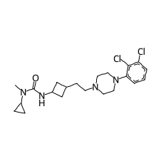 CN(C(=O)NC1CC(CCN2CCN(c3cccc(Cl)c3Cl)CC2)C1)C1CC1